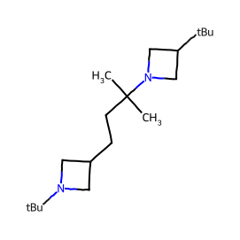 CC(C)(C)C1CN(C(C)(C)CCC2CN(C(C)(C)C)C2)C1